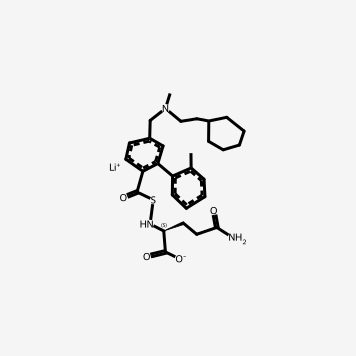 Cc1ccccc1-c1cc(CN(C)CCC2CCCCC2)ccc1C(=O)SN[C@@H](CCC(N)=O)C(=O)[O-].[Li+]